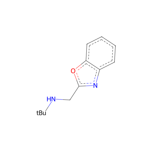 CC(C)(C)NCc1nc2ccccc2o1